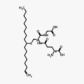 C=CCCCCCCC(CCCCCCCCC)SC[C@H](NC(=O)CC[C@H](N)C(=O)O)C(=O)NCC(=O)O